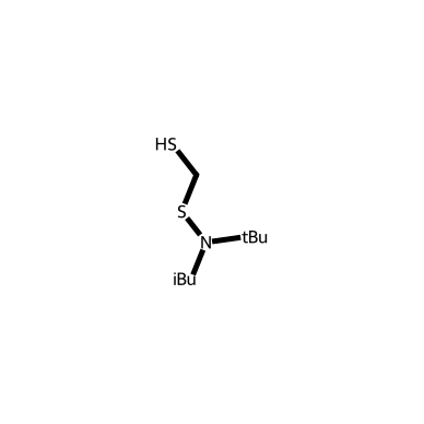 CCC(C)N(SCS)C(C)(C)C